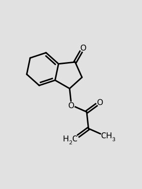 C=C(C)C(=O)OC1CC(=O)C2=CCCC=C21